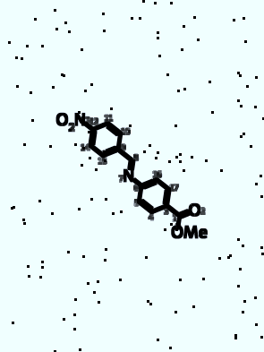 COC(=O)c1ccc(N=Cc2ccc([N+](=O)[O-])cc2)cc1